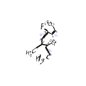 C=C(/C=C(F)\C=C/CC)/C(=C\C)CC